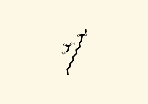 CCCCCCCCCCCC(=O)OC.NCC(=O)O